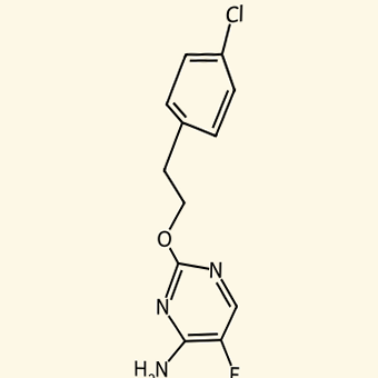 Nc1nc(OCCc2ccc(Cl)cc2)ncc1F